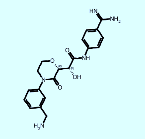 N=C(N)c1ccc(NC(=O)[C@H](O)[C@H]2OCCN(c3cccc(CN)c3)C2=O)cc1